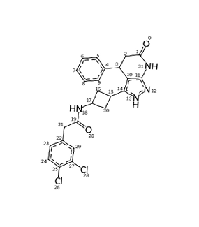 O=C1CC(c2ccccc2)c2c(n[nH]c2C2CC(NC(=O)Cc3ccc(Cl)c(Cl)c3)C2)N1